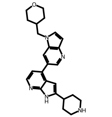 c1cc(-c2cnc3ccn(CC4CCOCC4)c3c2)c2cc(C3CCNCC3)[nH]c2n1